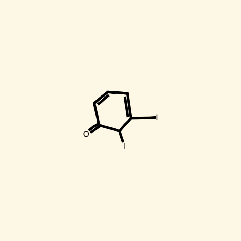 O=C1C=CC=C(I)C1I